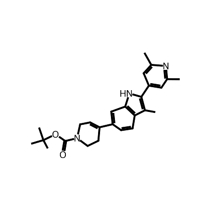 Cc1cc(-c2[nH]c3cc(C4=CCN(C(=O)OC(C)(C)C)CC4)ccc3c2C)cc(C)n1